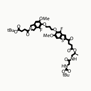 COc1cc2c(c(F)c1OCCCOc1c(OC)cc3sc(C(=O)CCC(=O)O[C@@H](C)CNC(=O)CNC(=O)OC(C)(C)C)cc3c1F)CN(C(=O)CCC(=O)OC(C)(C)C)C2